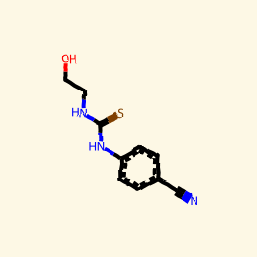 N#Cc1ccc(NC(=S)NCCO)cc1